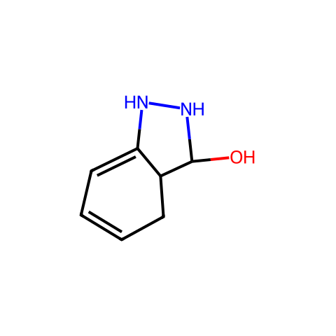 OC1NNC2=CC=CCC21